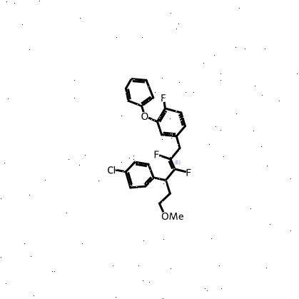 COCCC(/C(F)=C(\F)Cc1ccc(F)c(Oc2ccccc2)c1)c1ccc(Cl)cc1